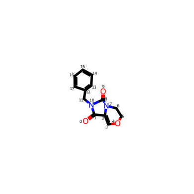 O=C1C2=COCCN2C(=O)N1Cc1ccccc1